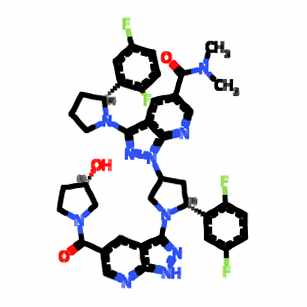 CN(C)C(=O)c1cnc2c(c1)c(N1CCC[C@@H]1c1cc(F)ccc1F)nn2C1C[C@H](c2cc(F)ccc2F)N(c2n[nH]c3ncc(C(=O)N4CC[C@H](O)C4)cc23)C1